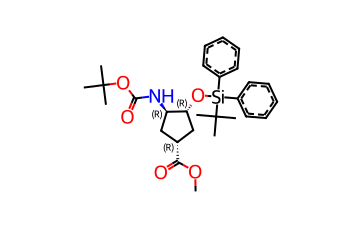 COC(=O)[C@@H]1C[C@@H](NC(=O)OC(C)(C)C)[C@H](O[Si](c2ccccc2)(c2ccccc2)C(C)(C)C)C1